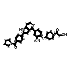 N#Cc1cc(-c2nccc3[nH]c(-c4ccc(C(=O)N5CCCC5)cc4)cc23)ccc1OC1CCN(C(=O)CO)CC1